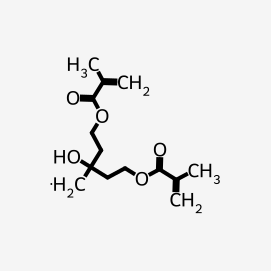 [CH2]C(O)(CCOC(=O)C(=C)C)CCOC(=O)C(=C)C